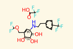 O=C(O)C(F)(F)F.O[C@@H]1[C@@H](O)[C@@H](O)C(COC(F)F)=C[C@H]1NCCc1ccc(C(F)(F)F)cc1